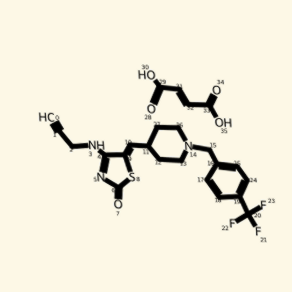 C#CCNC1=NC(=O)S/C1=C\C1CCN(Cc2ccc(C(F)(F)F)cc2)CC1.O=C(O)/C=C/C(=O)O